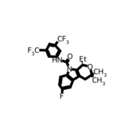 CC[C@@H]1OC(C)(C)Cc2c1n(C(=O)Nc1cc(C(F)(F)F)cc(C(F)(F)F)c1)c1ccc(F)cc21